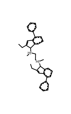 CCC1=Cc2c(-c3ccccc3)cccc2[CH]1[Hf]([CH3])[CH2][CH2][Hf]([CH3])[CH]1C(CC)=Cc2c(-c3ccccc3)cccc21